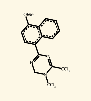 COc1ccc(C2=NCN(C(Cl)(Cl)Cl)C(C(Cl)(Cl)Cl)=N2)c2ccccc12